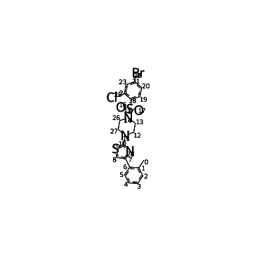 Cc1ccccc1-c1csc(N2CCN(S(=O)(=O)c3ccc(Br)cc3Cl)CC2)n1